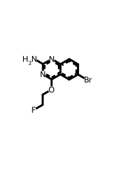 Nc1nc(OCCF)c2cc(Br)ccc2n1